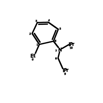 CCc1ccccc1N(CC(C)C)C(C)C